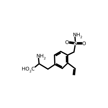 C=Cc1cc(CC(N)C(=O)O)ccc1CS(N)(=O)=O